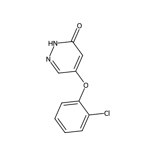 O=c1cc(Oc2ccccc2Cl)cn[nH]1